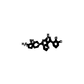 C[C@@H]1CCC2(CCN(c3nc4[nH]nc(-c5cccc(Cl)c5Cl)c4c4nccn34)CC2)[C@@H]1N